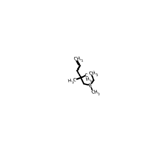 C=CCC(C)(C)CB(C)CC